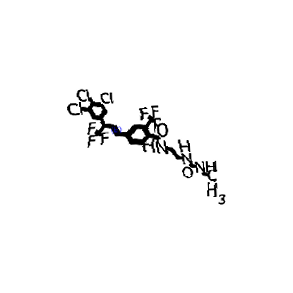 CCNC(=O)NCCNC(=O)c1ccc(/C=C/C(c2cc(Cl)c(Cl)c(Cl)c2)C(F)(F)F)cc1C(F)(F)F